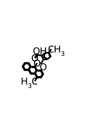 CC1=CC2CC1C(C(=O)O)C2C(=O)Oc1c2ccccc2cc2c(C)cccc12